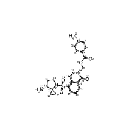 Cc1ccc(C(=O)OCn2ccc3c(S(=O)(=O)N4CC[C@@H](N)C45CC5)cccc3c2=O)cc1